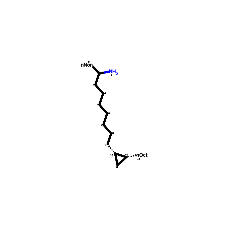 CCCCCCCCCC(N)CCCCCCC[C@H]1C[C@H]1CCCCCCCC